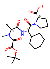 C[C@@H](C(=O)N[C@H](C(=O)N1CCC[C@H]1C(=O)O)C1CCCCC1)N(C)C(=O)C(=O)OC(C)(C)C